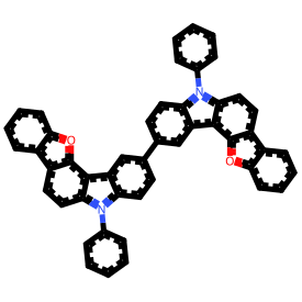 c1ccc(-n2c3ccc(-c4ccc5c(c4)c4c6oc7ccccc7c6ccc4n5-c4ccccc4)cc3c3c4oc5ccccc5c4ccc32)cc1